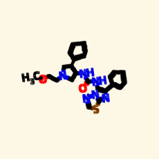 COCCN1CC(NC(=O)Nc2c(-c3ccccc3)nc3scnn23)[C@H](c2ccccc2)C1